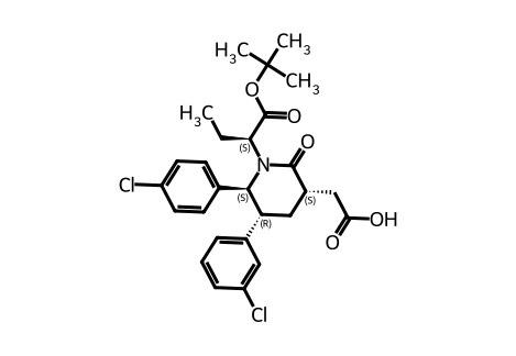 CC[C@@H](C(=O)OC(C)(C)C)N1C(=O)[C@H](CC(=O)O)C[C@H](c2cccc(Cl)c2)[C@H]1c1ccc(Cl)cc1